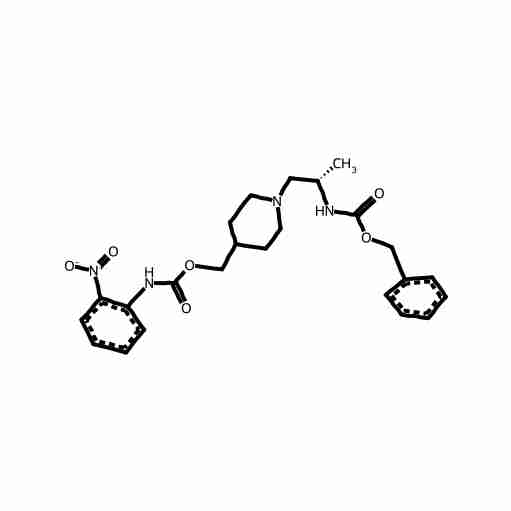 C[C@@H](CN1CCC(COC(=O)Nc2ccccc2[N+](=O)[O-])CC1)NC(=O)OCc1ccccc1